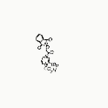 CC(C)(C)C1=CN(C(=O)CON2C(=O)c3ccccc3C2=O)CC=CN1C(=O)O